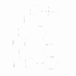 CC(C)C(C)(C)c1noc(C(=O)NCc2ccc(-c3ccnc4[nH]c(-c5ccccc5NC(=O)/C=C/CBr)nc34)cc2F)n1